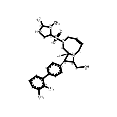 Cc1cccc(-c2ccc([C@@H]3C(CO)N4C/C=C\CN(S(=O)(=O)C5CNC(C)N5C)C[C@@H]34)cc2)c1C